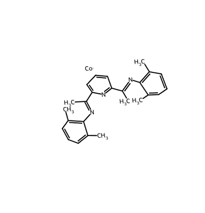 CC(=Nc1c(C)cccc1C)c1cccc(C(C)=Nc2c(C)cccc2C)n1.[Co]